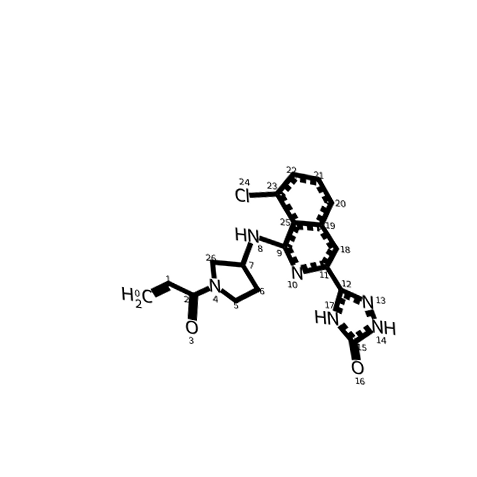 C=CC(=O)N1CCC(Nc2nc(-c3n[nH]c(=O)[nH]3)cc3cccc(Cl)c23)C1